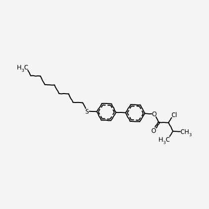 CCCCCCCCCSc1ccc(-c2ccc(OC(=O)C(Cl)C(C)C)cc2)cc1